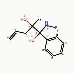 C=CCC(C)(O)C(O)(NCC)c1ccccc1